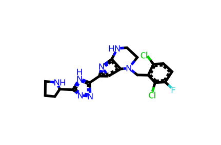 Fc1ccc(Cl)c(CN2CCNc3c2c2c(-c4nnc(C5CCCN5)[nH]4)n3-2)c1Cl